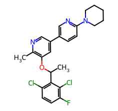 Cc1ncc(-c2ccc(N3CCCCC3)nc2)cc1OC(C)c1c(Cl)ccc(F)c1Cl